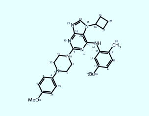 COc1ccc(N2CCN(c3nc(Nc4cc(C(C)(C)C)ccc4C)c4c(ncn4C4CCC4)n3)CC2)cc1